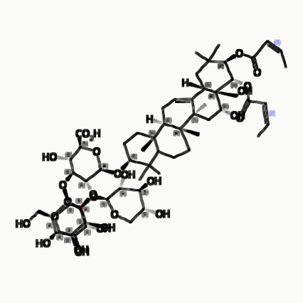 C/C=C\C(=O)O[C@H]1[C@H](OC(=O)/C=C\C)[C@]2(CO)[C@H](O)C[C@]3(C)C(=CC[C@@H]4[C@@]5(C)CC[C@H](O[C@@H]6O[C@H](C(=O)O)[C@@H](O)[C@H](O[C@@H]7OC[C@H](O)[C@H](O)[C@H]7O[C@@H]7OC[C@@H](O)[C@H](O)[C@H]7O)[C@H]6O[C@@H]6O[C@H](CO)[C@H](O)[C@H](O)[C@H]6O)C(C)(C)C5CC[C@]43C)[C@@H]2CC1(C)C